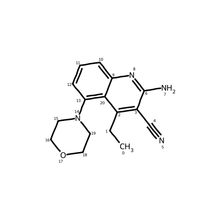 CCc1c(C#N)c(N)nc2cccc(N3CCOCC3)c12